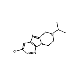 CC(C)N1CCn2c(nc3cc(Cl)cnc32)C1